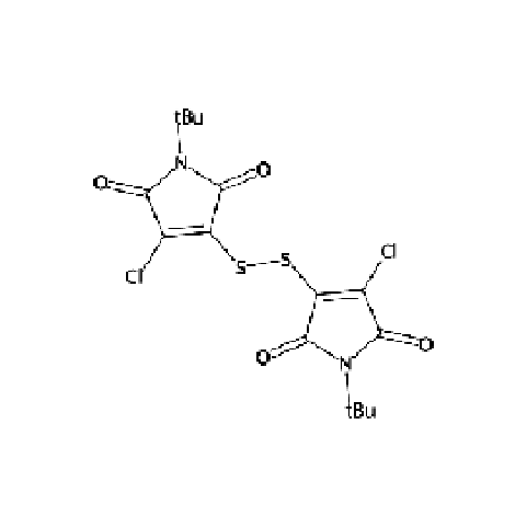 CC(C)(C)N1C(=O)C(Cl)=C(SSC2=C(Cl)C(=O)N(C(C)(C)C)C2=O)C1=O